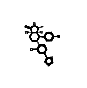 CC[C@@]12CC[C@@H](c3ccc(-c4cscn4)cc3Cl)[C@H](c3ccc(Cl)cc3)[C@@H]1[C@@H](C)NC2=O